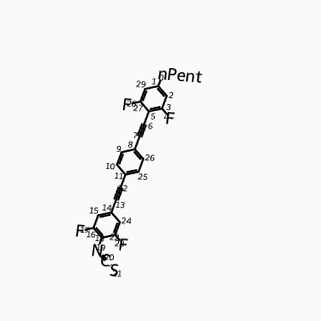 CCCCCc1cc(F)c(C#Cc2ccc(C#Cc3cc(F)c(N=C=S)c(F)c3)cc2)c(F)c1